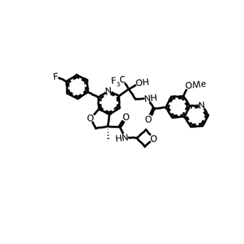 COc1cc(C(=O)NCC(O)(c2cc3c(c(-c4ccc(F)cc4)n2)OC[C@]3(C)C(=O)NC2COC2)C(F)(F)F)cc2cccnc12